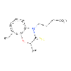 CC(C)c1cccc2c1OC(C(C)C)C(=S)N2CCCC(=O)O